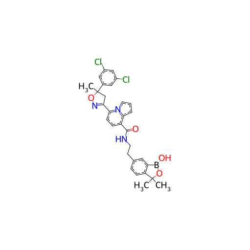 CC1(C)OB(O)c2cc(CCNC(=O)c3ccc(C4=NOC(C)(c5cc(Cl)cc(Cl)c5)C4)n4cccc34)ccc21